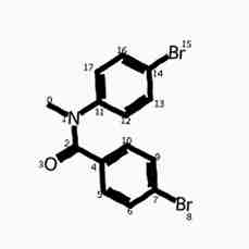 CN(C(=O)c1ccc(Br)cc1)c1ccc(Br)cc1